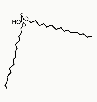 CCCCCCCCCCCCCCCCOP(O)(=S)OCCCCCCCCCCCCCCCC